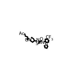 CC(=O)CCCC(=O)N1CCC(c2nc(C(=O)Nc3cc(C(F)(F)F)ccc3N3CCCC3)cs2)CC1